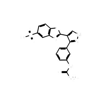 CCS(=O)(=O)c1ccc2oc(-c3c[nH]nc3-c3cccc(NC(=O)NC)c3)nc2c1